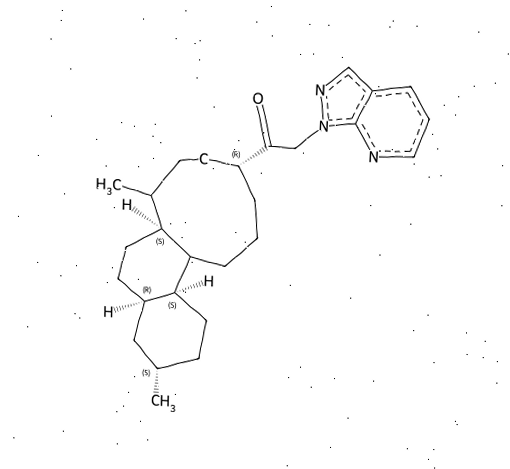 CC1CC[C@H](C(=O)Cn2ncc3cccnc32)CCCC2[C@H]1CC[C@@H]1C[C@@H](C)CC[C@H]21